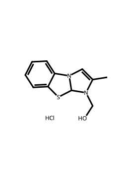 CC1=CN2c3ccccc3SC2N1CO.Cl